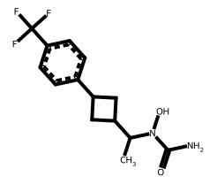 CC(C1CC(c2ccc(C(F)(F)F)cc2)C1)N(O)C(N)=O